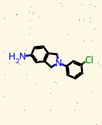 Nc1ccc2c(c1)CN(c1cccc(Cl)c1)C2